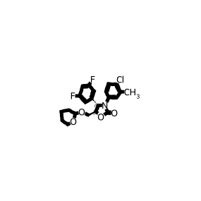 Cc1cc(N2C(=O)O[C@@H](COC3CCCCO3)[C@@H]2c2cc(F)cc(F)c2)ccc1Cl